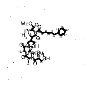 COC(=O)C(C(C)C)N(C(=O)CCCCCc1ccccc1)C(=O)C(N)C(CO)CNC(=O)[C@H](C)N(C(=O)OC(C)(C)C)C(=O)[C@H](C)NC(=O)[C@@H](N)CO